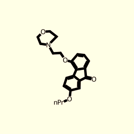 CCCOc1ccc2c(c1)C(=O)c1cccc(OCCN3CCOCC3)c1-2